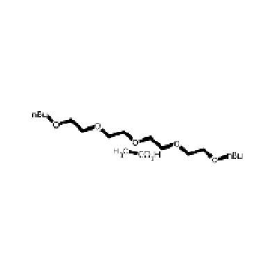 CC(=O)O.CCCCOCCOCCOCCOCCOCCCC